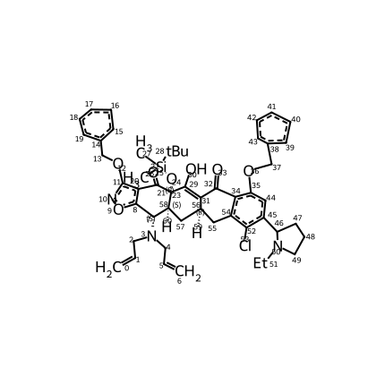 C=CCN(CC=C)[C@@H]1c2onc(OCc3ccccc3)c2C(=O)[C@@]2(O[Si](C)(C)C(C)(C)C)C(O)=C3C(=O)c4c(OCc5ccccc5)cc(C5CCCN5CC)c(Cl)c4C[C@H]3C[C@@H]12